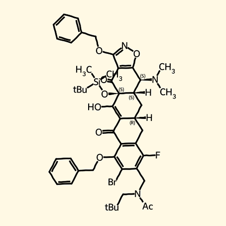 CC(=O)N(Cc1c(F)c2c(c(OCc3ccccc3)c1Br)C(=O)C1=C(O)[C@]3(O[Si](C)(C)C(C)(C)C)C(=O)c4c(OCc5ccccc5)noc4[C@@H](N(C)C)[C@@H]3C[C@@H]1C2)CC(C)(C)C